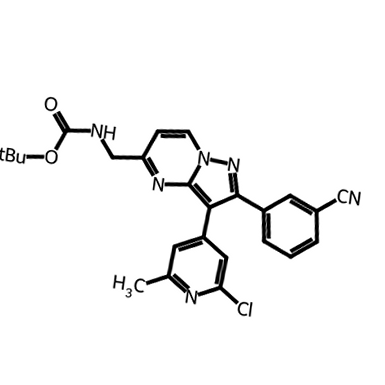 Cc1cc(-c2c(-c3cccc(C#N)c3)nn3ccc(CNC(=O)OC(C)(C)C)nc23)cc(Cl)n1